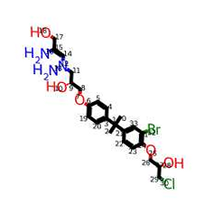 CC(C)(c1ccc(OC[C@H](O)CN(N)/C=C(\N)CO)cc1)c1ccc(OC[C@@H](O)CCl)c(Br)c1